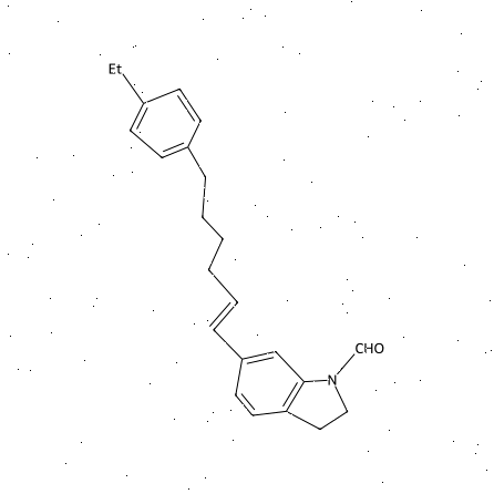 CCc1ccc(CCCCC=Cc2ccc3c(c2)N(C=O)CC3)cc1